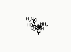 CC(C)C[C@H](NC(=O)CN)C(=O)N[C@@H](CCC(N)=O)C(=O)O